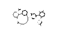 CC(=O)N1CCCC2NC(=O)[C@H](C)CCC[C@H](n3cnc(-c4c(N5C=C(Cl)NN5)ccc(Cl)c4F)cc3=O)c3cccc(c3)C21